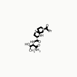 CC(C)C(=O)N1CCC2(C1)N[C@H](C(=O)N[C@H](C(N)=O)[C@@H](C)O)CS2